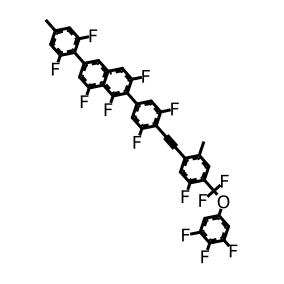 Cc1cc(F)c(-c2cc(F)c3c(F)c(-c4cc(F)c(C#Cc5cc(F)c(C(F)(F)Oc6cc(F)c(F)c(F)c6)cc5C)c(F)c4)c(F)cc3c2)c(F)c1